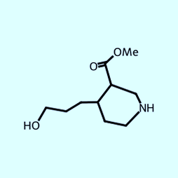 COC(=O)C1CNCCC1CCCO